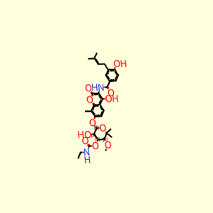 CCNC(=O)O[C@H]1[C@@H](O)[C@H](Oc2ccc3c(O)c(NC(=O)c4ccc(O)c(CC=C(C)C)c4)c(=O)oc3c2C)OC(C)(C)[C@@H]1OC